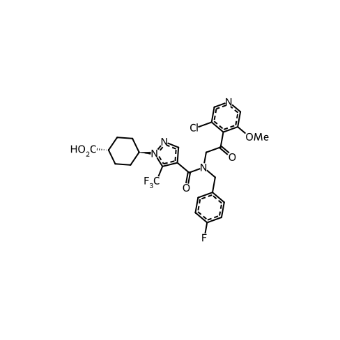 COc1cncc(Cl)c1C(=O)CN(Cc1ccc(F)cc1)C(=O)c1cnn([C@H]2CC[C@H](C(=O)O)CC2)c1C(F)(F)F